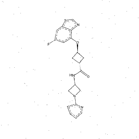 O=C(NC1CN(c2ccccn2)C1)[C@H]1C[C@H](Oc2cc(F)cc3scnc23)C1